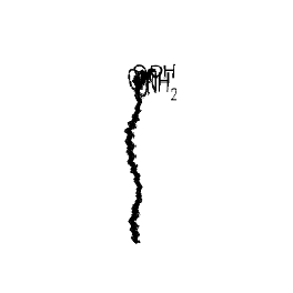 CCCCCCCCCCCCCCCCCCCCCCCCCCCCCCC(=O)OC(=O)[C@@H](N)CO